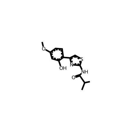 COc1ccc(-c2csc(NC(=O)C(C)C)n2)c(O)c1